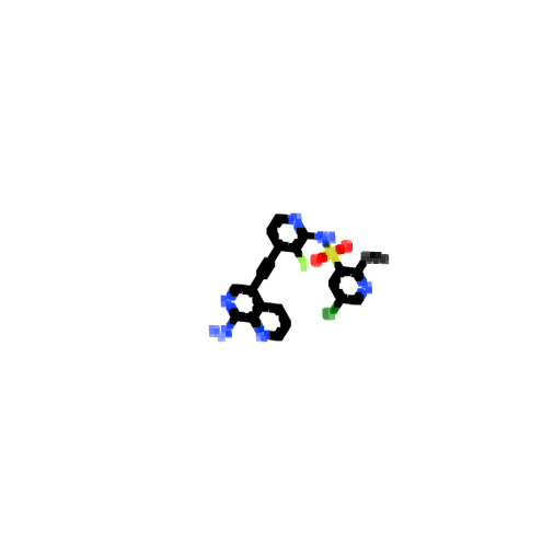 COc1ncc(Cl)cc1S(=O)(=O)Nc1nccc(C#Cc2cnc(N)c3ncccc23)c1F